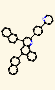 c1ccc(-c2ccc(-c3cc(-c4ccc5ccccc5c4)c4cc(-c5ccc6ccccc6c5)c5ccccc5c4n3)cc2)nc1